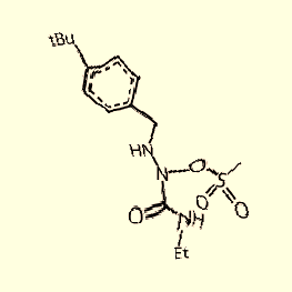 CCNC(=O)N(NCc1ccc(C(C)(C)C)cc1)OS(C)(=O)=O